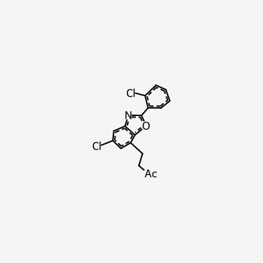 CC(=O)CCc1cc(Cl)cc2nc(-c3ccccc3Cl)oc12